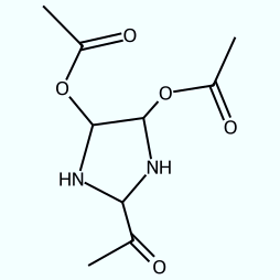 CC(=O)OC1NC(C(C)=O)NC1OC(C)=O